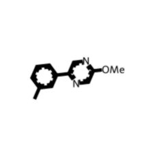 COc1cnc(-c2cccc(C)c2)cn1